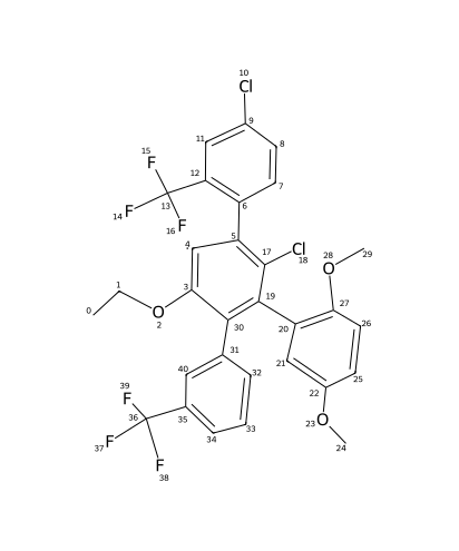 CCOc1[c]c(-c2ccc(Cl)cc2C(F)(F)F)c(Cl)c(-c2cc(OC)ccc2OC)c1-c1cccc(C(F)(F)F)c1